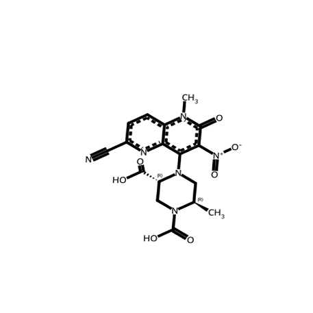 C[C@@H]1CN(c2c([N+](=O)[O-])c(=O)n(C)c3ccc(C#N)nc23)[C@@H](C(=O)O)CN1C(=O)O